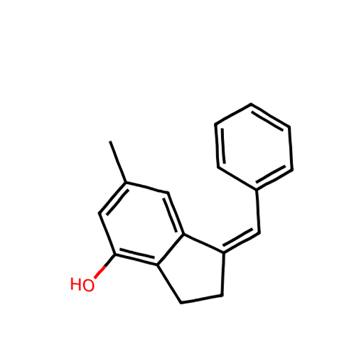 Cc1cc(O)c2c(c1)/C(=C\c1ccccc1)CC2